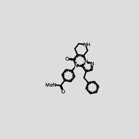 CNC(=O)c1ccc(-n2c(=O)c3c(n4ncc(Cc5ccccc5)c24)CNCC3)cc1